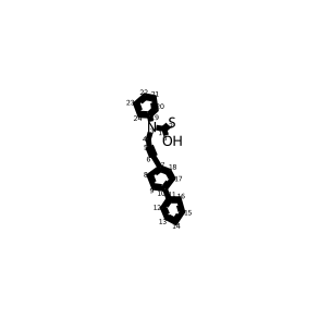 OC(=S)N(CC#Cc1ccc(-c2ccccc2)cc1)c1ccccc1